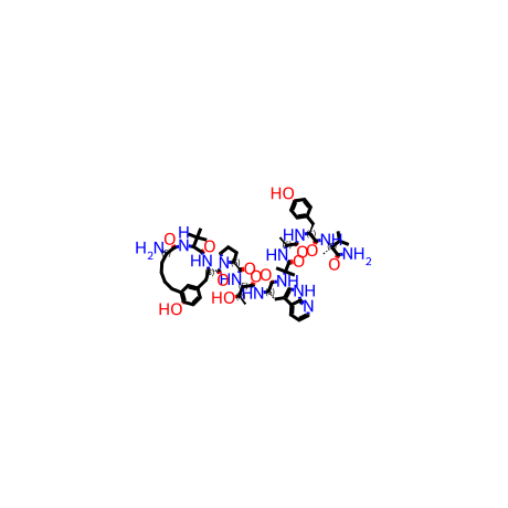 CC(C)[C@](C)(NC(=O)[C@H](Cc1ccc(O)cc1)NC(=O)[C@H](C)NC(=O)C(C)(C)NC(=O)[C@H](Cc1c[nH]c2ncccc12)NC(=O)[C@@H](NC(=O)[C@@H]1CCCN1C(=O)[C@@H]1Cc2ccc(O)c(c2)CCCC[C@H](N)C(=O)NC(C(C)(C)C)C(=O)N1)[C@@H](C)O)C(N)=O